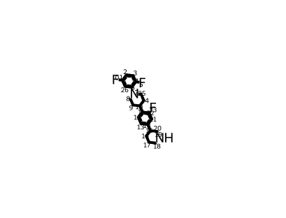 Fc1ccc(F)c(N2CCC(c3ccc(C4CCCNC4)cc3F)CC2)c1